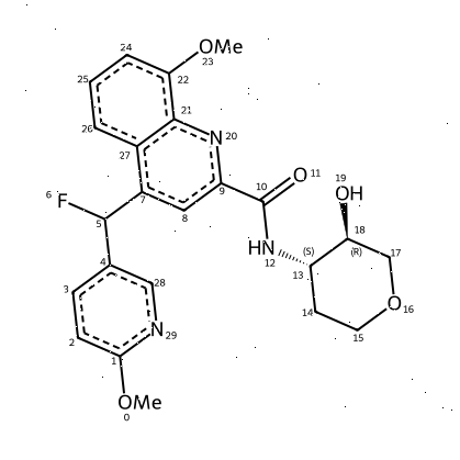 COc1ccc(C(F)c2cc(C(=O)N[C@H]3CCOC[C@@H]3O)nc3c(OC)cccc23)cn1